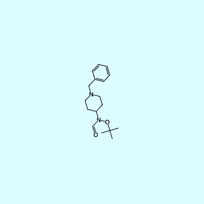 CC(C)(C)ON(C=O)C1CCN(Cc2ccccc2)CC1